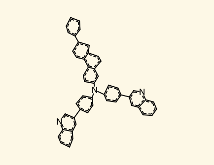 c1ccc(-c2ccc3c(ccc4cc(N(c5ccc(-c6cnc7ccccc7c6)cc5)c5ccc(-c6cnc7ccccc7c6)cc5)ccc43)c2)cc1